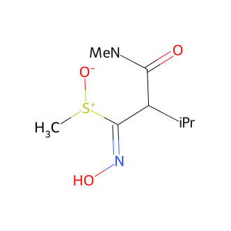 CNC(=O)C(C(=NO)[S+](C)[O-])C(C)C